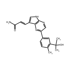 Cc1ccc(-c2cnc3[nH]cc(/C=C/C(N)=O)c3n2)cc1C(C)(C)O